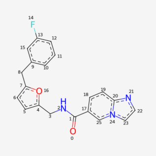 O=C(NCc1ccc(Cc2cccc(F)c2)o1)c1ccc2nccn2c1